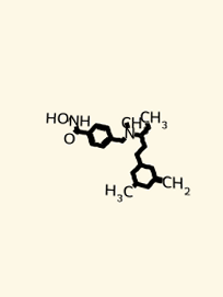 C=C1CC(C)CC(CCC(CC)N(C)Cc2ccc(C(=O)NO)cc2)C1